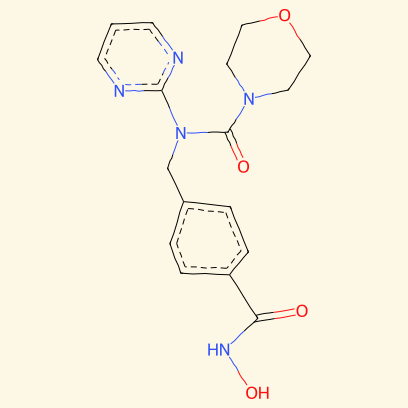 O=C(NO)c1ccc(CN(C(=O)N2CCOCC2)c2ncccn2)cc1